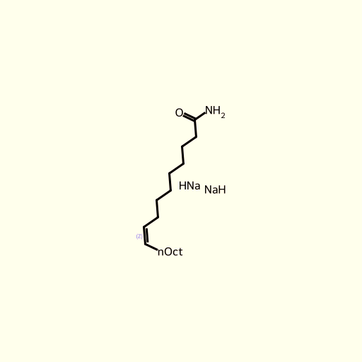 CCCCCCCC/C=C\CCCCCCCC(N)=O.[NaH].[NaH]